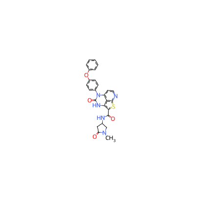 CN1CC(NC(=O)c2sc3nccc4c3c2NC(=O)N4c2ccc(Oc3ccccc3)cc2)CC1=O